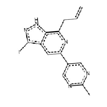 C=CCc1nc(-c2cnc(C)nc2)cc2c(I)n[nH]c12